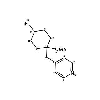 COC1(Cc2ccncc2)CCC(C(C)C)CC1